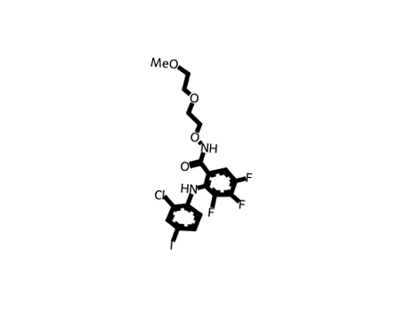 COCCOCCONC(=O)c1cc(F)c(F)c(F)c1Nc1ccc(I)cc1Cl